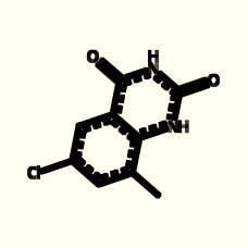 Cc1cc(Cl)cc2c(=O)[nH]c(=O)[nH]c12